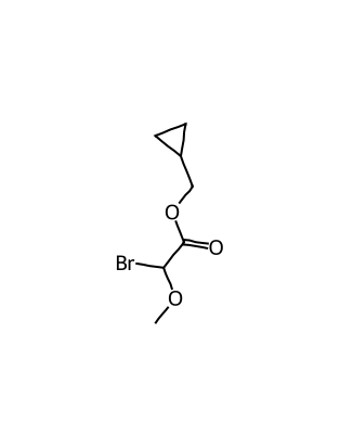 COC(Br)C(=O)OCC1CC1